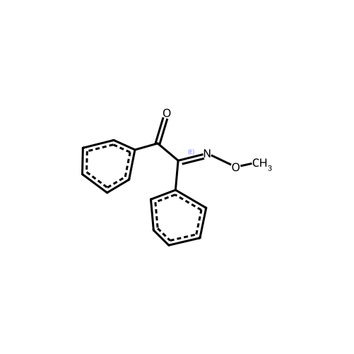 CO/N=C(/C(=O)c1ccccc1)c1ccccc1